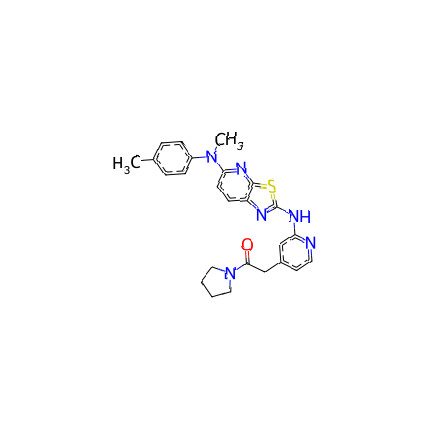 Cc1ccc(N(C)c2ccc3nc(Nc4cc(CC(=O)N5CCCC5)ccn4)sc3n2)cc1